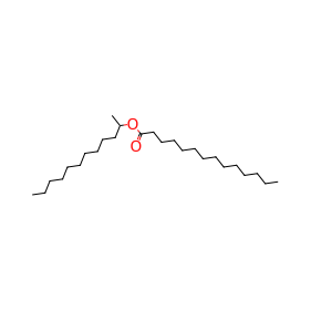 CCCCCCCCCCCCCC(=O)OC(C)CCCCCCCCCC